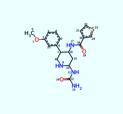 COc1cccc(C2CNC(NC(N)=O)CC2NC(=O)c2ccsc2)c1